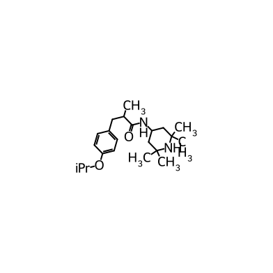 CC(C)Oc1ccc(CC(C)C(=O)NC2CC(C)(C)NC(C)(C)C2)cc1